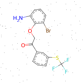 Nc1cccc(Br)c1OCC(=O)c1cccc(SC(F)(F)F)c1